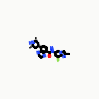 Cc1cn2cc(NC(=O)c3ccc([C@H]4C[C@@H](C)N[C@@H](C)C4)c4nccnc34)cc(F)c2n1